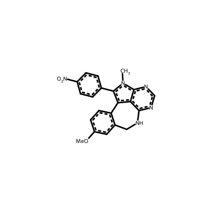 COc1ccc2c(c1)CNc1ncnc3c1c-2c(-c1ccc([N+](=O)[O-])cc1)n3C